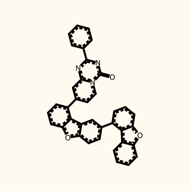 O=c1nc(-c2ccccc2)nc2cc(-c3cccc4oc5ccc(-c6cccc7oc8ccccc8c67)cc5c34)ccn12